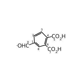 O=[C]c1ccc(C(=O)O)c(C(=O)O)c1